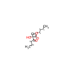 CCCCOC(=O)C(C)(O)C(=O)CCC